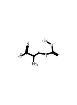 C=C(OO)SCC(N)C(=O)O